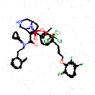 Cc1ccccc1CCN(C(=O)C1=C(c2ccc(CCCOc3c(F)ccc(F)c3F)cc2)CC2CNCC1N2C(=O)OC(C)(C)C(Cl)(Cl)Cl)C1CC1